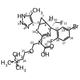 Cc1[nH]nnc1[C@]12C[C@H]1[C@@](CF)(c1cc(Br)ccc1F)N=C(N(COCC[Si](C)(C)C)C(=O)O)S2